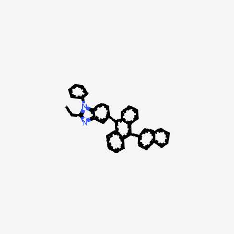 CCc1nc2cc(-c3c4ccccc4c(-c4ccc5ccccc5c4)c4ccccc34)ccc2n1-c1ccccc1